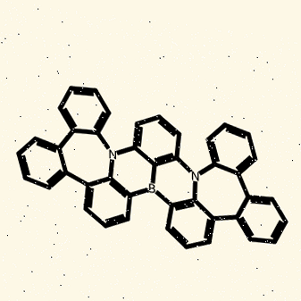 c1ccc2c(c1)-c1ccccc1N1c3cccc4c3B(c3cccc-2c31)c1cccc2c1N4c1ccccc1-c1ccccc1-2